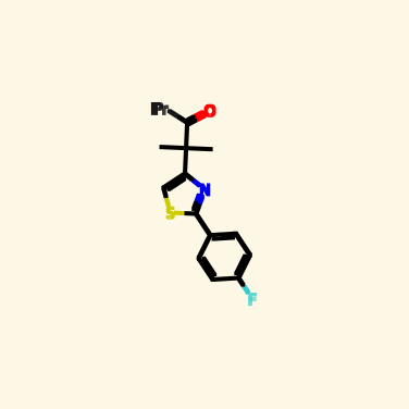 CC(C)C(=O)C(C)(C)c1csc(-c2ccc(F)cc2)n1